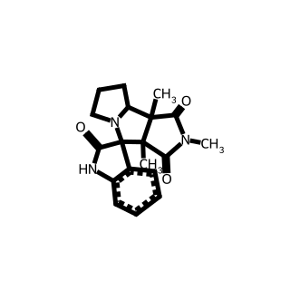 CN1C(=O)C2(C)C3CCCN3C3(C(=O)Nc4ccccc43)C2(C)C1=O